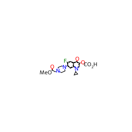 COC(=O)CN1CCN(c2cc3c(cc2F)c(=O)c(OC(=O)O)cn3C2CC2)CC1